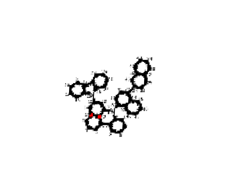 c1ccc(-c2ccccc2N(c2cccc(-n3c4ccccc4c4ccccc43)c2)c2ccc(-c3ccc4ccccc4c3)c3ccccc23)cc1